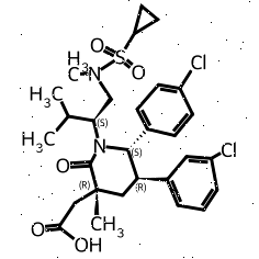 CC(C)[C@@H](CN(C)S(=O)(=O)C1CC1)N1C(=O)[C@@](C)(CC(=O)O)C[C@H](c2cccc(Cl)c2)[C@H]1c1ccc(Cl)cc1